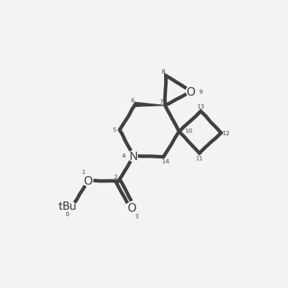 CC(C)(C)OC(=O)N1CC[C@]2(CO2)C2(CCC2)C1